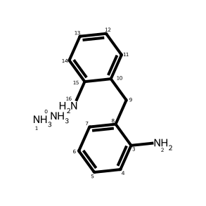 N.N.Nc1ccccc1Cc1ccccc1N